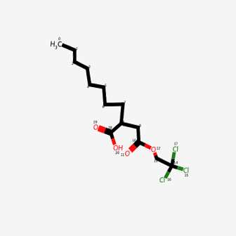 CCCCCCCCC(CC(=O)OCC(Cl)(Cl)Cl)C(=O)O